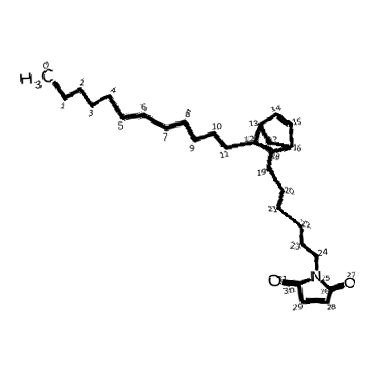 CCCCCCCCCCCCC1C2C=CC(C2)C1CCCCCCN1C(=O)C=CC1=O